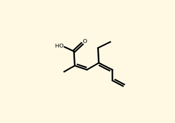 C=CC=C(C=C(C)C(=O)O)CC